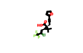 CC1(C)[C@@H](/C=C(\Cl)C(F)(F)F)[C@@]1(CC#Cc1ccco1)C(=O)O